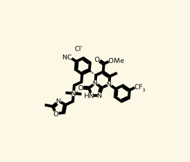 COC(=O)C1=C(C)N(c2cccc(C(F)(F)F)c2)c2n[nH]c(=O)n2[C@@H]1c1ccc(C#N)cc1CC[N+](C)(C)Cc1coc(C)n1.[Cl-]